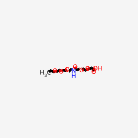 CCCOCCOCCOCCNC(=O)CCOCCOCCC(=O)O